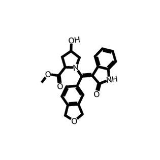 COC(=O)C1CC(O)CN1C(=C1C(=O)Nc2ccccc21)c1ccc2c(c1)COC2